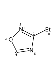 CCC1=[N+]O[C]=N1